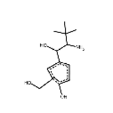 CC(C)(C)C(N)C(O)c1ccc(O)c(CO)c1